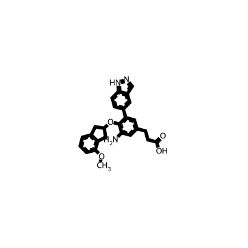 COc1cccc2c1CC(Oc1c(N)cc(CCC(=O)O)cc1-c1ccc3[nH]ncc3c1)C2